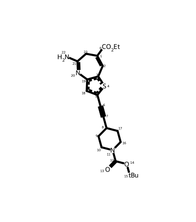 CCOC(=O)C1=Cc2sc(C#CC3CCN(C(=O)OC(C)(C)C)CC3)cc2N=C(N)C1